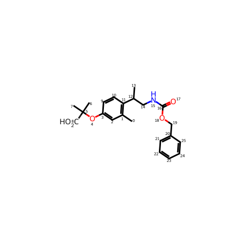 Cc1cc(OC(C)(C)C(=O)O)ccc1C(C)CNC(=O)OCc1ccccc1